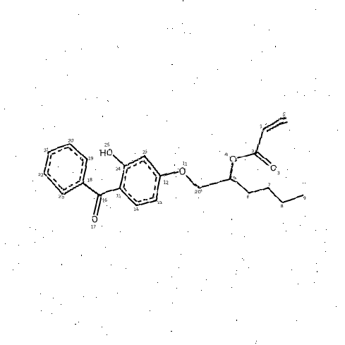 C=CC(=O)OC(CCCC)COc1ccc(C(=O)c2ccccc2)c(O)c1